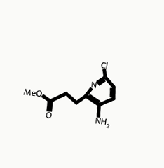 COC(=O)CCc1nc(Cl)ccc1N